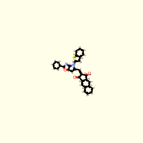 O=C1C(=Cc2cc3oc(-c4ccccc4)nc3n2-c2cc3ccccc3s2)C(=O)c2cc3ccccc3cc21